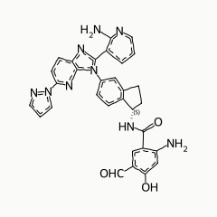 Nc1cc(O)c(C=O)cc1C(=O)N[C@H]1CCc2cc(-n3c(-c4cccnc4N)nc4ccc(-n5cccn5)nc43)ccc21